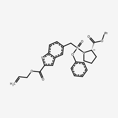 C=CCOC(=O)c1cc2cc(CP(=O)(Oc3ccccc3)N3CCC[C@H]3C(=O)OC(C)C)ccc2s1